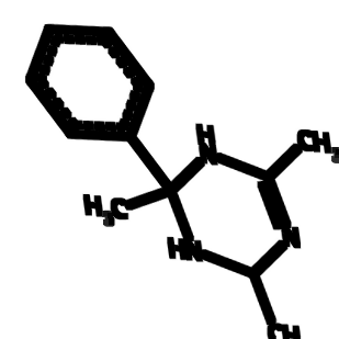 CC1=NC(C)NC(C)(c2ccccc2)N1